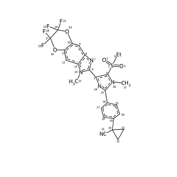 CCS(=O)(=O)c1c(-c2nc3cc4c(cc3n2C)OC(F)(F)C(F)(F)O4)nc(-c2ccc(C3(C#N)CC3)cc2)n1C